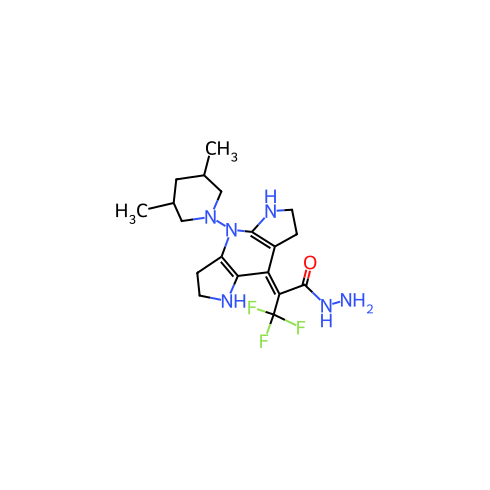 CC1CC(C)CN(N2C3=C(NCC3)/C(=C(/C(=O)NN)C(F)(F)F)C3=C2NCC3)C1